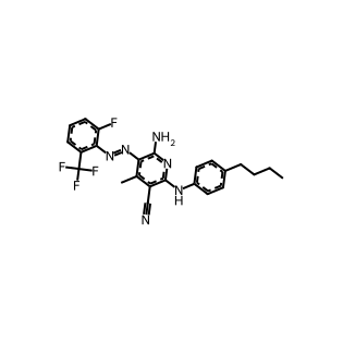 CCCCc1ccc(Nc2nc(N)c(/N=N/c3c(F)cccc3C(F)(F)F)c(C)c2C#N)cc1